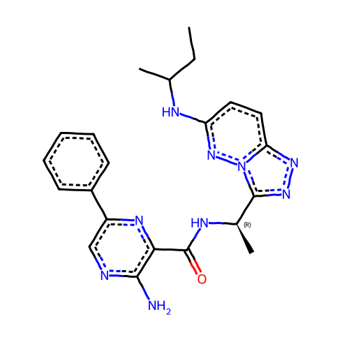 CCC(C)Nc1ccc2nnc([C@@H](C)NC(=O)c3nc(-c4ccccc4)cnc3N)n2n1